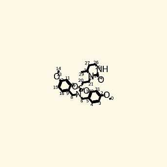 COc1ccc(CN(Cc2ccc(OC)cc2)S(=O)(=O)CCN2C(=O)NCCC2C)cc1